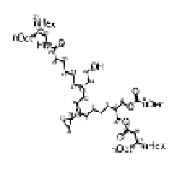 CCCCCCCCCCC(=O)OCC(CCCCN(CCN(CCO)CCCCCC(=O)NCC(CCCCCC)CCCCCCCC)C1CC1)COC(=O)CC(CCCCCC)CCCCCCCC